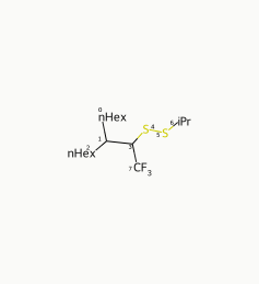 CCCCCCC(CCCCCC)C(SSC(C)C)C(F)(F)F